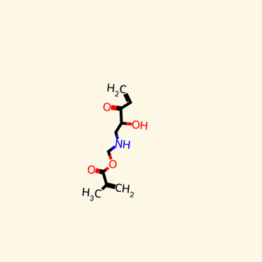 C=CC(=O)C(O)CNCOC(=O)C(=C)C